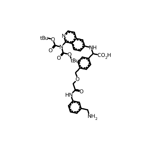 CC(C)(C)OC(=O)N(C(=O)OC(C)(C)C)c1nccc2cc(NC(C(=O)O)c3ccc(COCC(=O)Nc4cccc(CN)c4)cc3)ccc12